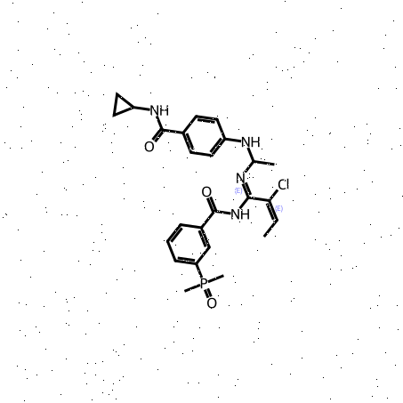 C/C=C(Cl)\C(=N/C(C)Nc1ccc(C(=O)NC2CC2)cc1)NC(=O)c1cccc(P(C)(C)=O)c1